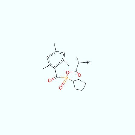 Cc1cc(C)c(C(=O)P(=O)(OC(=O)C(C)C(C)C)C2CCCC2)c(C)c1